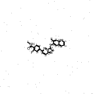 CNC(=O)c1ccc(-c2ccc3nnc(Sc4cc5cccnc5cc4C)n3n2)cc1F